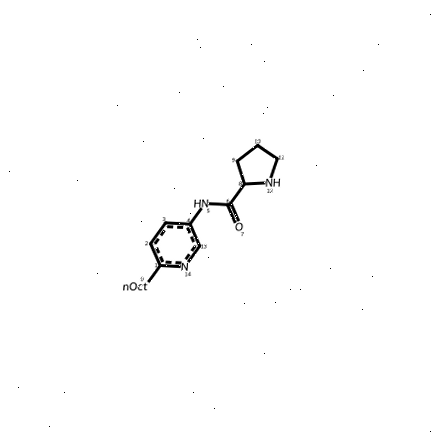 CCCCCCCCc1ccc(NC(=O)C2CCCN2)cn1